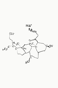 CNCC(=O)C1C[C@@H](O)CC2C[C@@H](O)C3C(CC[C@@]4(C)C3CC[C@@H]4[C@H](C)CCC(=O)[O-])[C@]21C.[Na+]